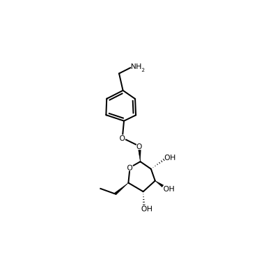 CC[C@H]1O[C@@H](OOc2ccc(CN)cc2)[C@H](O)[C@@H](O)[C@@H]1O